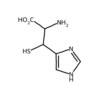 NC(C(=O)O)C(S)c1c[nH]cn1